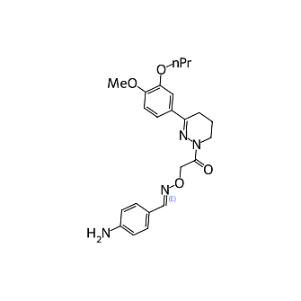 CCCOc1cc(C2=NN(C(=O)CO/N=C/c3ccc(N)cc3)CCC2)ccc1OC